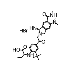 Br.CCC(Nc1ccc(C(=O)CN2Cc3cc(N(C)C)c(C(=O)NC)cc3C2=N)cc1C(C)(C)C)C(=O)O